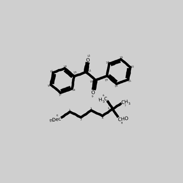 CCCCCCCCCCCCCCC(C)(C)C=O.O=C(C(=O)c1ccccc1)c1ccccc1